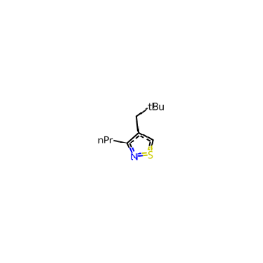 CCCc1nscc1CC(C)(C)C